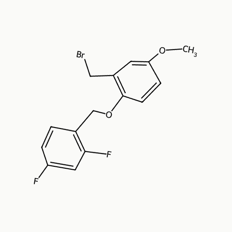 COc1ccc(OCc2ccc(F)cc2F)c(CBr)c1